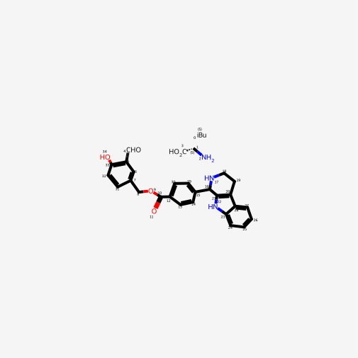 CC[C@H](C)[C@H](N)C(=O)O.O=Cc1cc(COC(=O)c2ccc(C3NCCc4c3[nH]c3ccccc43)cc2)ccc1O